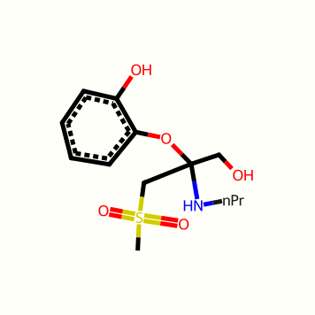 CCCNC(CO)(CS(C)(=O)=O)Oc1ccccc1O